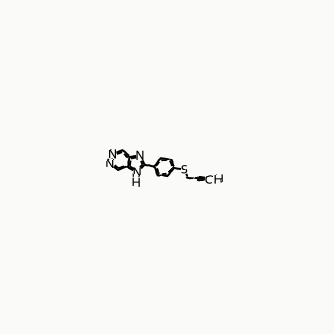 C#CCSc1ccc(-c2nc3cnncc3[nH]2)cc1